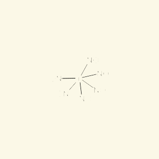 O=[N][Ir]([N]=O)([N]=O)([N]=O)([N]=O)[N]=O